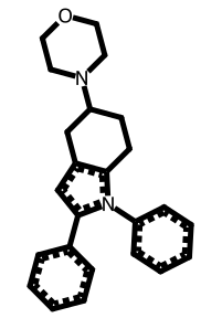 c1ccc(-c2cc3c(n2-c2ccccc2)CCC(N2CCOCC2)C3)cc1